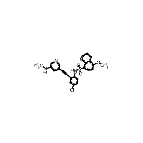 CNc1cncc(C#Cc2cc(Cl)ccc2NS(=O)(=O)c2ccc(OC)c3cccnc23)c1